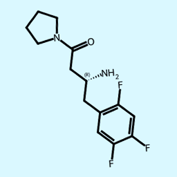 N[C@@H](CC(=O)N1CCCC1)Cc1cc(F)c(F)cc1F